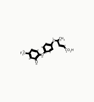 CC(C=CC(=O)O)Oc1ccc(Oc2ccc(C(F)(F)F)cc2Cl)cc1